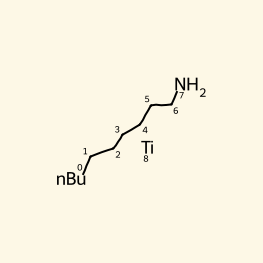 CCCCCCCCCCN.[Ti]